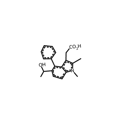 Cc1c(CC(=O)O)c2c(-c3ccccc3)c(C(C)O)ccc2n1C